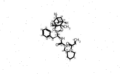 C=CC(=O)N1CCCC[C@H]1CNC(=O)N[C@@H](Cc1ccccc1)B1O[C@@H]2C[C@@H]3C[C@@H](C3(C)C)[C@]2(C)O1